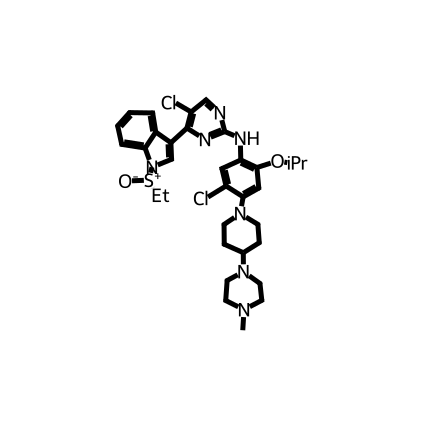 CC[S+]([O-])n1cc(-c2nc(Nc3cc(Cl)c(N4CCC(N5CCN(C)CC5)CC4)cc3OC(C)C)ncc2Cl)c2ccccc21